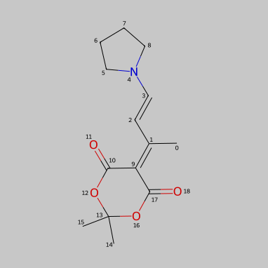 CC(/C=C/N1CCCC1)=C1C(=O)OC(C)(C)OC1=O